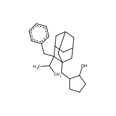 CC(C)C1(Cc2ccccc2)[C]2CC3CC(C2)CC1(CC1CCCC1O)C3